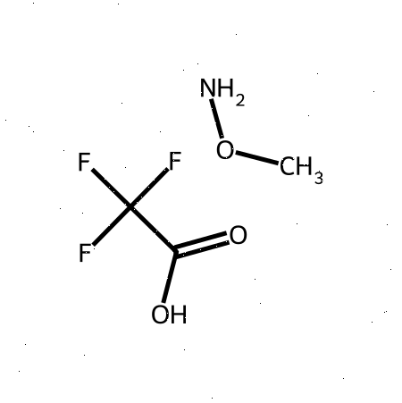 CON.O=C(O)C(F)(F)F